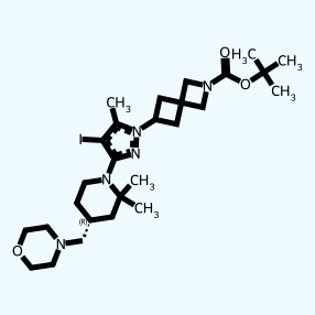 Cc1c(I)c(N2CC[C@@H](CN3CCOCC3)CC2(C)C)nn1C1CC2(C1)CN(C(=O)OC(C)(C)C)C2